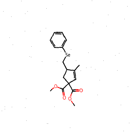 COC(=O)C1(C(=O)OC)C=C(C)C(C[Se]c2ccccc2)C1